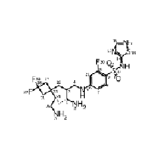 C[C@@H](N)C(CNc1ccc(S(=O)(=O)Nc2ncns2)c(F)c1)CC1(CCN)CC(F)(F)C1